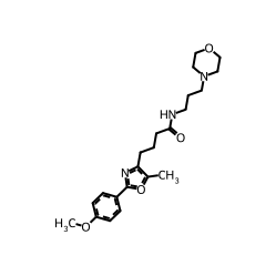 COc1ccc(-c2nc(CCCC(=O)NCCCN3CCOCC3)c(C)o2)cc1